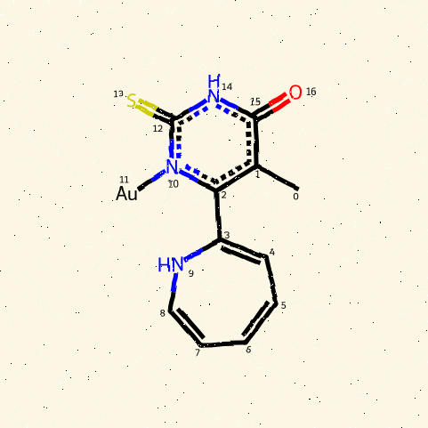 Cc1c(C2=CC=CC=CN2)[n]([Au])c(=S)[nH]c1=O